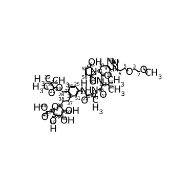 COCCOCCn1cc(CC(C(=O)N[C@H](C(=O)N[C@@H](C)C(=O)Nc2ccc(COC(=O)C(C)(C)C)c(CC[C@@H]3O[C@H](C(=O)O)[C@@H](O)[C@H](O)[C@H]3O)c2)C(C)C)N2C(=O)C=CC2O)nn1